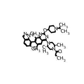 C=CC(=O)N1C[C@H](C)N(c2nc(OC3CCN(C(C)C)CC3)nc3c(F)c(-c4c(C)ccc5cnn(C)c45)c(Cl)cc23)C[C@H]1C